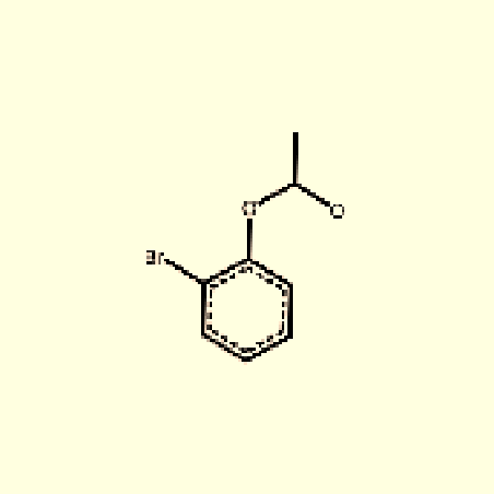 CC([O])Oc1ccccc1Br